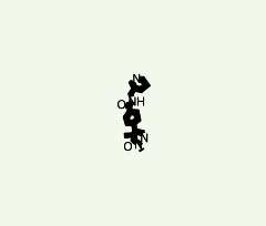 Cc1c(-c2ccc(C(=O)NCc3cccnc3)cc2)cnn(C)c1=O